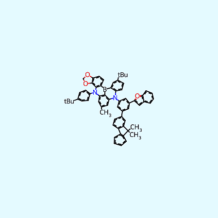 Cc1cc2c3c(c1)N(c1ccc(C(C)(C)C)cc1)c1c(ccc4c1OCO4)B3c1cc(C(C)(C)C)ccc1N2c1cc(-c2ccc3c(c2)C(C)(C)c2ccccc2-3)cc(-c2cc3ccccc3o2)c1